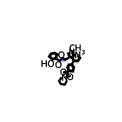 Cn1cc(/C=C2\Oc3cccc(O)c3C2=O)c2c(-c3ccc(S(=O)(=O)N4CCCCC4)cc3)ccnc21